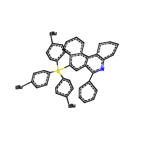 CC(C)(C)c1ccc(S(c2ccc(C(C)(C)C)cc2)(c2ccc(C(C)(C)C)cc2)c2cc3c(-c4ccccc4)nc4ccccc4c3c3ccccc23)cc1